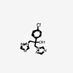 OC(Cn1cncn1)(Cn1cncn1)c1ccc(Cl)cc1